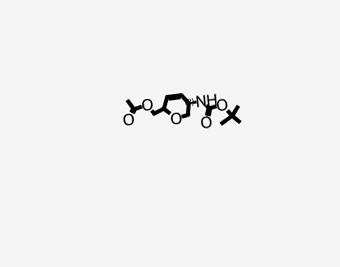 CC(=O)OCC1C=C[C@@H](NC(=O)OC(C)(C)C)CO1